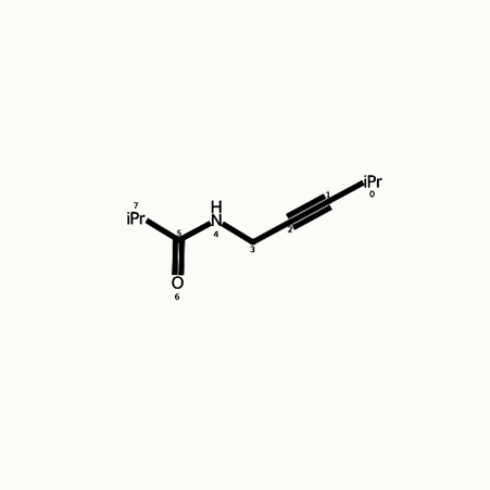 CC(C)C#CCNC(=O)C(C)C